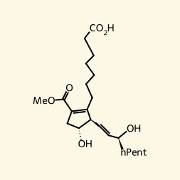 CCCCC[C@H](O)C=C[C@@H]1C(CCCCCCC(=O)O)=C(C(=O)OC)C[C@H]1O